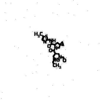 CCCCC(CN(O)C=O)C(=O)N1CC2(CC2)CC1C(=O)Nc1ncc(C)s1